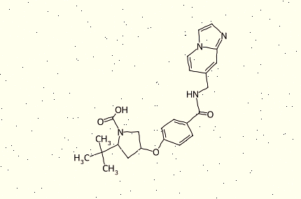 CC(C)(C)C1CC(Oc2ccc(C(=O)NCc3ccn4ccnc4c3)cc2)CN1C(=O)O